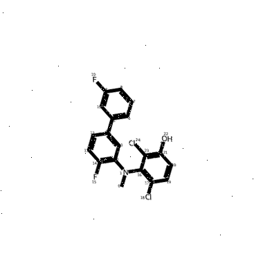 CN(c1cc(-c2cccc(F)c2)ccc1F)c1c(Cl)ccc(O)c1Cl